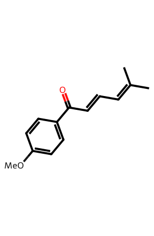 COc1ccc(C(=O)C=CC=C(C)C)cc1